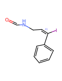 O=CNC/C=C(/I)c1ccccc1